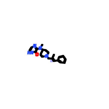 C/C(=C\c1ccccc1)CN1CCC(N(C)c2ncc[nH]c2=O)CC1